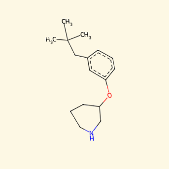 CC(C)(C)Cc1cccc(OC2CCCNC2)c1